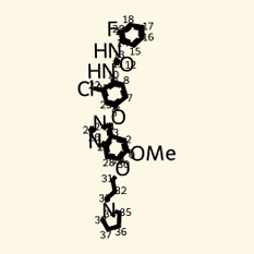 COc1cc2c(Oc3ccc(NC(=O)Nc4ccccc4F)c(Cl)c3)ncnc2cc1OCCCN1CCCC1